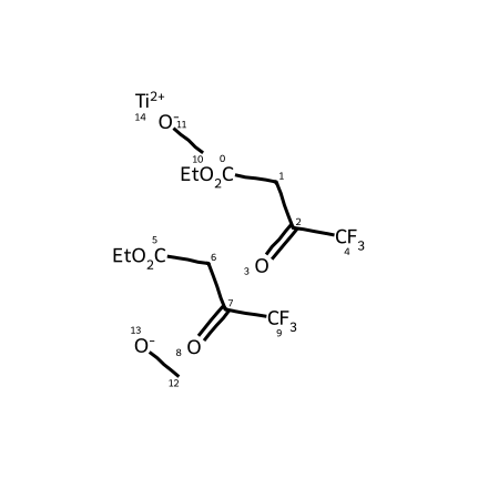 CCOC(=O)CC(=O)C(F)(F)F.CCOC(=O)CC(=O)C(F)(F)F.C[O-].C[O-].[Ti+2]